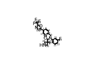 O=C(N(Cc1ccc(-c2nnc(C(F)(F)F)o2)cn1)c1cccc(F)c1)C1(F)CNC1